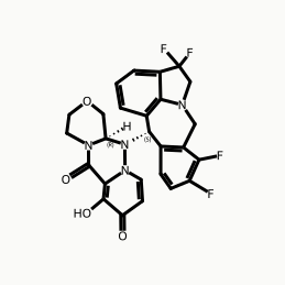 O=C1c2c(O)c(=O)ccn2N([C@H]2c3ccc(F)c(F)c3CN3CC(F)(F)c4cccc2c43)[C@@H]2COCCN12